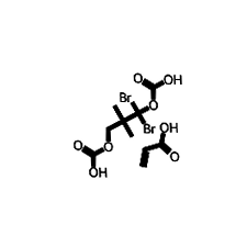 C=CC(=O)O.CC(C)(COC(=O)O)C(Br)(Br)OC(=O)O